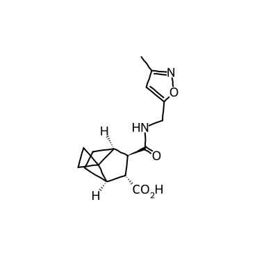 Cc1cc(CNC(=O)[C@H]2[C@H](C(=O)O)[C@H]3CC[C@@H]2C32CC2)on1